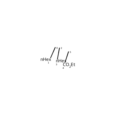 CCCCCCC.CCCCCCC.CCOC(C)=O